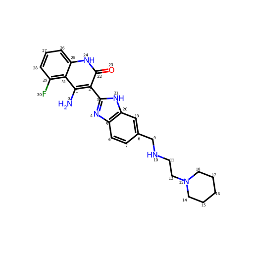 Nc1c(-c2nc3ccc(CNCCN4CCCCC4)cc3[nH]2)c(=O)[nH]c2cccc(F)c12